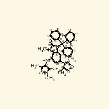 Cc1nn(C)c(C)c1Nc1cc(-c2c(C)noc2C)cc2c1n(C)c(=O)n2C(c1ccccc1)(c1ccccc1)c1ccccc1